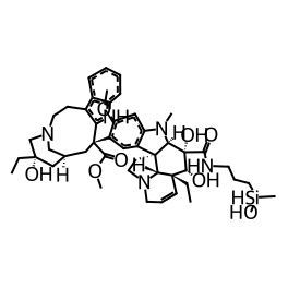 CC[C@]1(O)C[C@H]2CN(CCc3c([nH]c4ccccc34)[C@@](C(=O)OC)(c3cc4c(cc3OC)N(C)[C@H]3[C@@](O)(C(=O)NCCC[SiH](C)O)[C@H](O)[C@]5(CC)C=CCN6CC[C@]43[C@@H]65)C2)C1